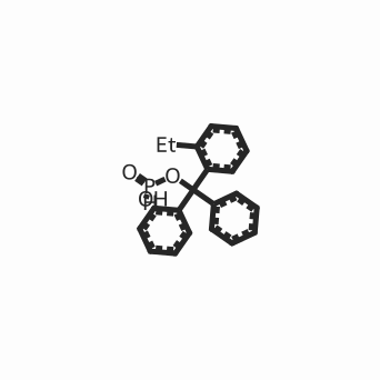 CCc1ccccc1C(O[PH](=O)O)(c1ccccc1)c1ccccc1